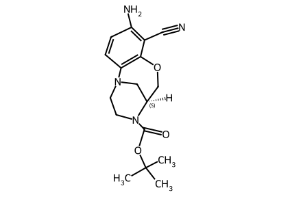 CC(C)(C)OC(=O)N1CCN2C[C@H]1COc1c2ccc(N)c1C#N